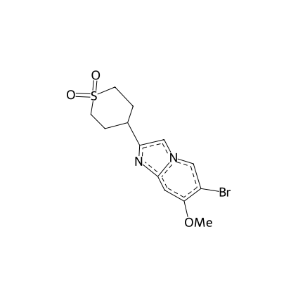 COc1cc2nc(C3CCS(=O)(=O)CC3)cn2cc1Br